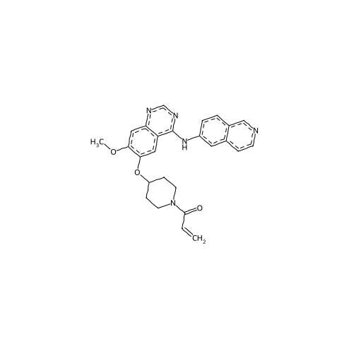 C=CC(=O)N1CCC(Oc2cc3c(Nc4ccc5cnccc5c4)ncnc3cc2OC)CC1